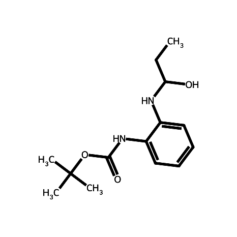 CCC(O)Nc1ccccc1NC(=O)OC(C)(C)C